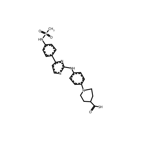 CS(=O)(=O)Nc1ccc(-c2ccnc(Nc3ccc(N4CCC(C(=O)S)CC4)cc3)n2)cc1